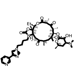 CC[C@H]1OC(=O)[C@H](C)C(=O)[C@H](C)[C@@H](O[C@@H]2O[C@H](C)CC(N(C)C)C2O)[C@](C)(OC)C[C@@H](C)C(=O)[C@H](C)[C@H]2N(CCCCn3cnc(-c4cccnc4)c3)C(=O)O[C@]12C